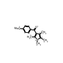 COc1ccc(C(=O)c2c(C)c(C)n(C)c2C)cc1